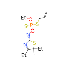 C=CCSP(=S)(OCC)ON=C1N=C(CC)C(C)(CC)S1